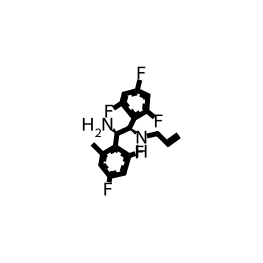 C=CCN[C@H](c1c(F)cc(F)cc1F)[C@H](N)c1c(C)cc(F)cc1F